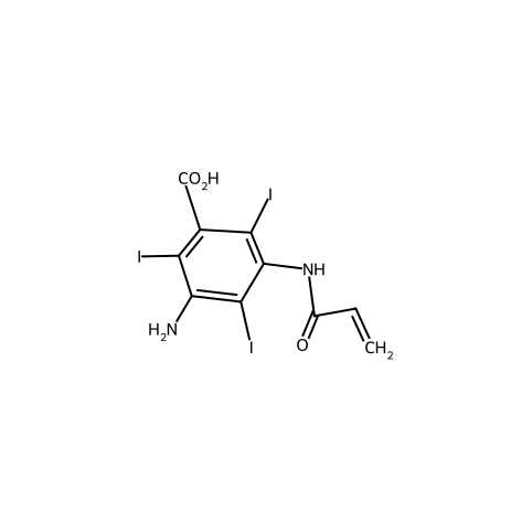 C=CC(=O)Nc1c(I)c(N)c(I)c(C(=O)O)c1I